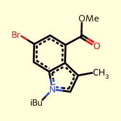 CCC(C)n1cc(C)c2c(C(=O)OC)cc(Br)cc21